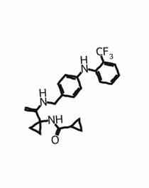 C=C(NCc1ccc(Nc2ccccc2C(F)(F)F)cc1)C1(NC(=O)C2CC2)CC1